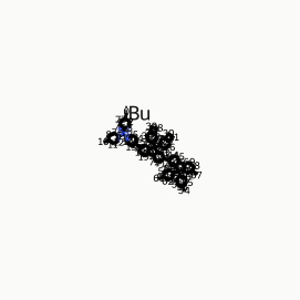 CCC(C)c1ccc(N(c2ccc(C)cc2)c2ccc(-c3ccc4c(c3)C(c3ccc5c(c3)CC5)(c3ccc5c(c3)CC5)c3cc(-c5ccc6c(c5)C(c5ccc(C)cc5)(c5ccc(C)cc5)c5cc(C)ccc5-6)ccc3-4)cc2)cc1